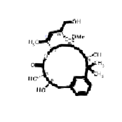 CO[C@H]1C[C@@H](/C(C)=C\[C@@H](C)CO)OC(=O)[C@@H](O)[C@H](O)Cc2cccc(c2)C(C)(C)[C@@H](O)C1